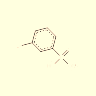 CCc1cccc(P(=O)(O)OC)c1